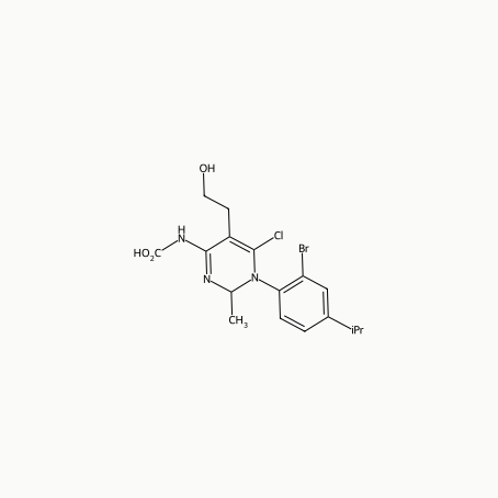 CC(C)c1ccc(N2C(Cl)=C(CCO)C(NC(=O)O)=NC2C)c(Br)c1